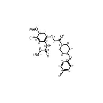 COc1cc(OCC(=O)N2CCC(Oc3ccc(F)cc3)CC2)c(NC(=O)OC(C)(C)C)cc1Cl